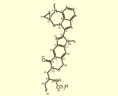 CN(C)c1cccc2cc(-c3nc4cc5c(cc4n3C)CCN(CC(CF)NC(=O)O)C5=O)n(CC3CC3)c12